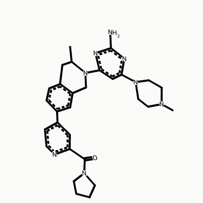 CC1Cc2ccc(-c3ccnc(C(=O)N4CCCC4)c3)cc2CN1c1cc(N2CCN(C)CC2)nc(N)n1